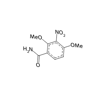 COc1ccc(C(N)=O)c(OC)c1[N+](=O)[O-]